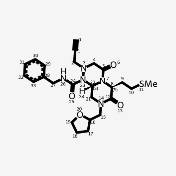 C#CCN1CC(=O)N2[C@@H](CCSC)C(=O)N(CC3CCCO3)C[C@@H]2N1C(=O)NCc1ccccc1